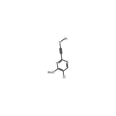 COc1nc(C#CSC(C)C)ncc1Cl